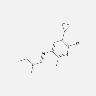 CCN(C)/C=N/c1cc(C2CC2)c(Cl)nc1C